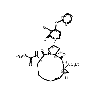 CCOC(=O)[C@@]12C[C@H]1/C=C\CCCCC[C@H](NC(=O)OC(C)(C)C)C(=O)N1C[C@H](n3ncc(Sc4ncccn4)c(Br)c3=O)C[C@H]1C(=O)N2